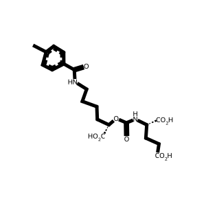 Cc1ccc(C(=O)NCCCC[C@H](OC(=O)N[C@@H](CCC(=O)O)C(=O)O)C(=O)O)cc1